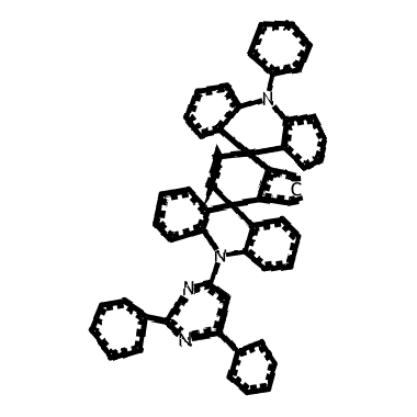 c1ccc(-c2cc(N3c4ccccc4C4(c5ccccc53)c3ccccc3C3(c5ccccc5N(c5ccccc5)c5ccccc53)c3ccccc34)nc(-c3ccccc3)n2)cc1